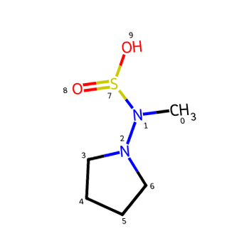 CN(N1CCCC1)S(=O)O